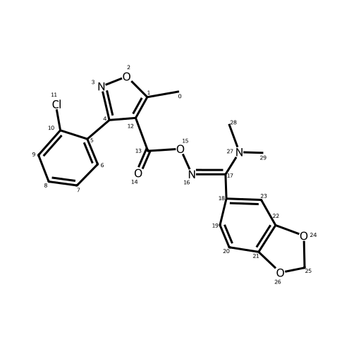 Cc1onc(-c2ccccc2Cl)c1C(=O)ON=C(c1ccc2c(c1)OCO2)N(C)C